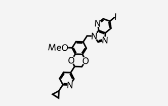 COc1cc(Cn2cnc3cc(I)cnc32)cc2c1OC(c1ccc(C3CC3)nc1)CO2